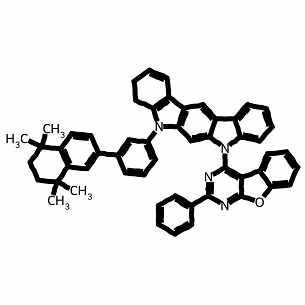 CC1(C)CCC(C)(C)c2cc(-c3cccc(-n4c5c(c6cc7c8ccccc8n(-c8nc(-c9ccccc9)nc9oc%10ccccc%10c89)c7cc64)C=CCC5)c3)ccc21